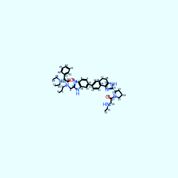 CCCN(Cc1nc2ccc(-c3ccc4c(c3)CCc3[nH]c([C@@H]5CCCN5C(=O)CNCC)nc3-4)cc2[nH]1)C(=O)[C@@H](c1ccccc1)N(CC)CC